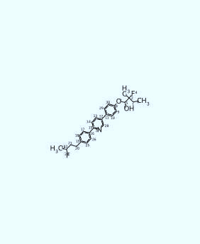 CCC(C)(F)[C@@H](O)Oc1ccc(-c2ccc(-c3ccc(CC[C@H](C)F)cc3)nc2)cc1